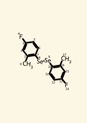 Cc1cc(F)ccc1[Se][Se]c1ccc(F)cc1C